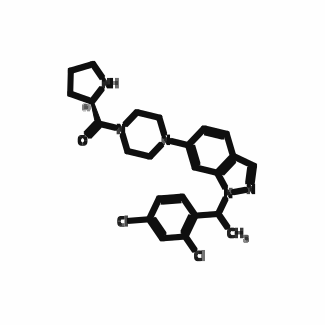 CC(c1ccc(Cl)cc1Cl)n1ncc2ccc(N3CCN(C(=O)[C@H]4CCCN4)CC3)cc21